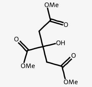 COC(=O)CC(O)(CC(=O)OC)C(=O)OC